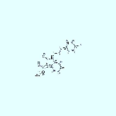 Cc1ccc(C=CCn2c(=O)n(C(=O)OC(C)(C)C)c3ccccc32)nc1